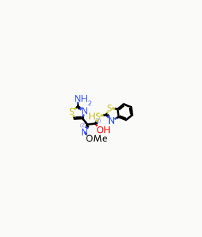 CO/N=C(\C(O)=[SH]\c1nc2ccccc2s1)c1csc(N)n1